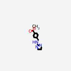 COC(=O)c1ccc(CNc2ncccn2)cc1